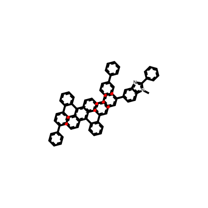 Cn1c(-c2ccccc2)nc2cc(-c3ccc(-c4ccc5c(-c6ccccc6-c6ccc(-c7ccccc7)cc6)c6ccccc6c(-c6ccccc6-c6ccc(-c7ccc(-c8ccccc8)cc7)cc6)c5c4)cc3)ccc21